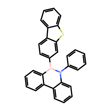 c1ccc(N2B(c3ccc4c(c3)sc3ccccc34)c3ccccc3-c3ccccc32)cc1